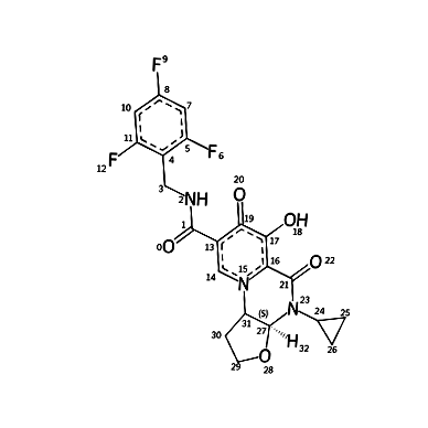 O=C(NCc1c(F)cc(F)cc1F)c1cn2c(c(O)c1=O)C(=O)N(C1CC1)[C@H]1OCCC12